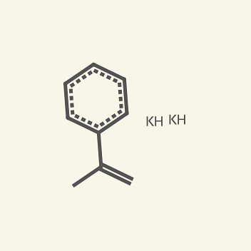 C=C(C)c1ccccc1.[KH].[KH]